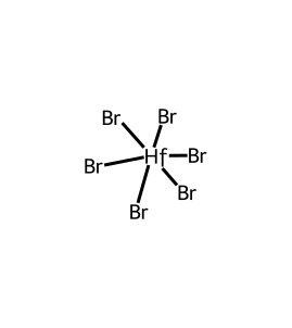 [Br][Hf]([Br])([Br])([Br])([Br])[Br]